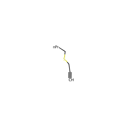 C#CCSCCCC